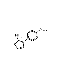 NC1SC=CN1c1ccc([N+](=O)[O-])cc1